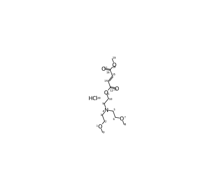 COCCN(CCOC)CCOC(=O)/C=C/C(=O)OC.Cl